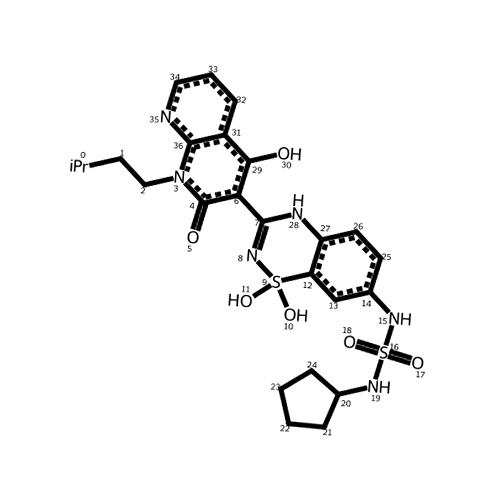 CC(C)CCn1c(=O)c(C2=NS(O)(O)c3cc(NS(=O)(=O)NC4CCCC4)ccc3N2)c(O)c2cccnc21